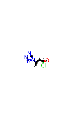 CC(CC(=O)Cl)n1cnnn1